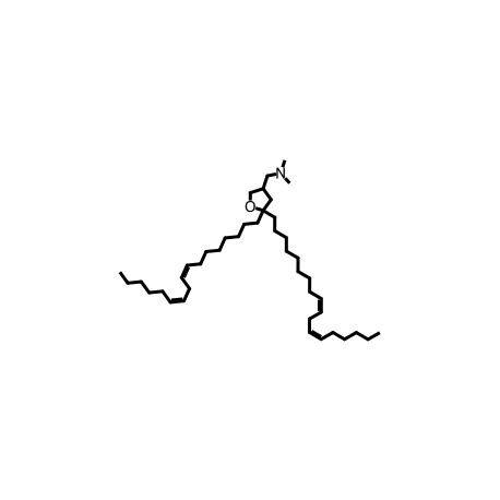 CCCCC/C=C\C/C=C\CCCCCCCCC1(CCCCCCC/C=C\C/C=C\CCCCC)CC(CN(C)C)CO1